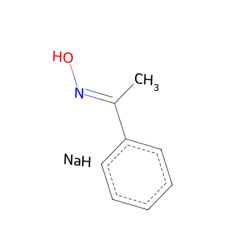 CC(=NO)c1ccccc1.[NaH]